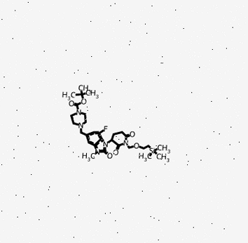 Cn1c(=O)n(C2CCC(=O)N(COCC[Si](C)(C)C)C2=O)c2c(F)cc(CN3CCN(C(=O)OC(C)(C)C)CC3)cc21